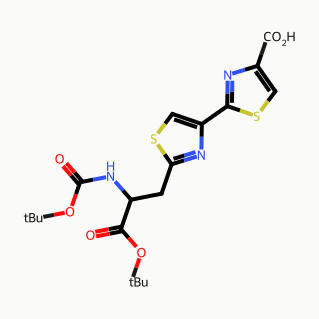 CC(C)(C)OC(=O)NC(Cc1nc(-c2nc(C(=O)O)cs2)cs1)C(=O)OC(C)(C)C